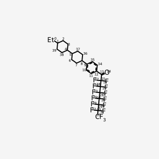 CCC1CCC(C2CCC(c3ccc(C(=O)C(F)(F)C(F)(F)C(F)(F)C(F)(F)C(F)(F)C(F)(F)C(F)(F)F)cc3)CC2)CC1